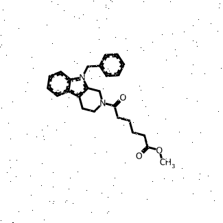 COC(=O)CCCCC(=O)N1CCc2c(n(Cc3ccccc3)c3ccccc23)C1